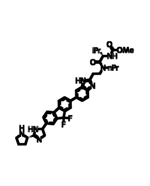 CCCN(CCc1nc2ccc(-c3ccc4c(c3)C(F)(F)c3cc(C5CN=C([C@@H]6CCCN6)N5)ccc3-4)cc2[nH]1)C(=O)[C@@H](NC(=O)OC)C(C)C